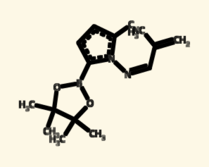 C=C(C#N)/C=N\n1c(C)ccc1B1OC(C)(C)C(C)(C)O1